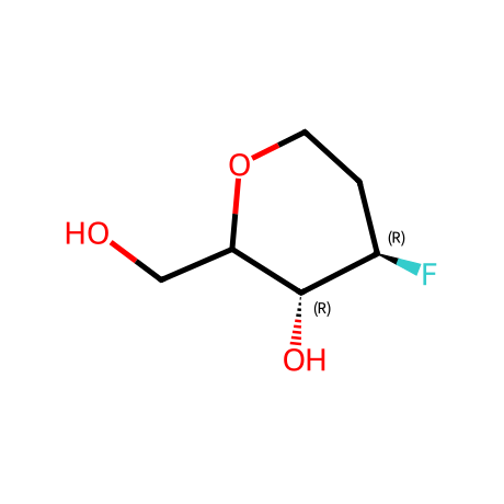 OCC1OCC[C@@H](F)[C@@H]1O